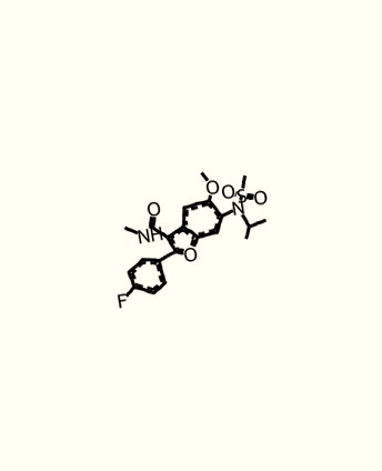 CNC(=O)c1c(-c2ccc(F)cc2)oc2cc(N(C(C)C)S(C)(=O)=O)c(OC)cc12